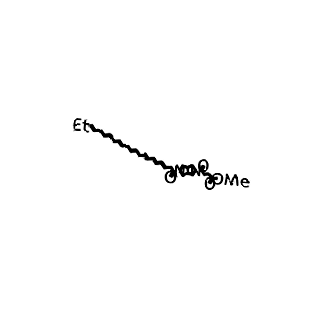 CCC=CCC=CCC=CCC=CCC=CCC=CCCC(=O)N1CC2CN(C(=O)C=CC(=O)OC)CC2C1